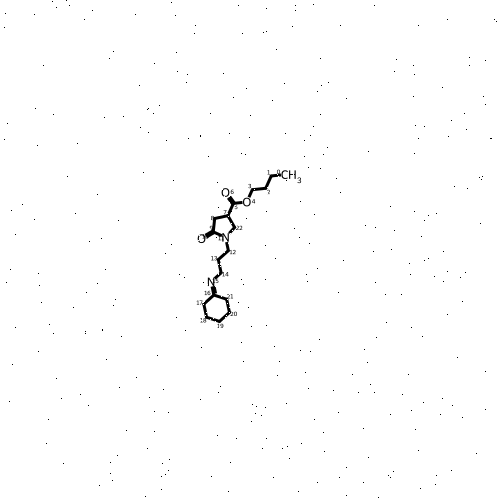 CCCCOC(=O)C1CC(=O)N(CCCN=C2CCCCC2)C1